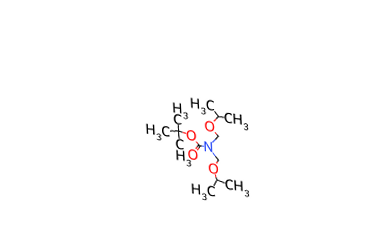 CC(C)OCN(COC(C)C)C(=O)OC(C)(C)C